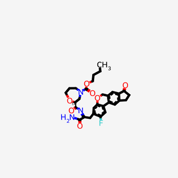 CCCCOC(=O)N1CCCO[C@H](C(=O)N=C(Cc2cc3c(cc2F)-c2cc4c(cc2CO3)C(=O)CC4)C(N)=O)C1